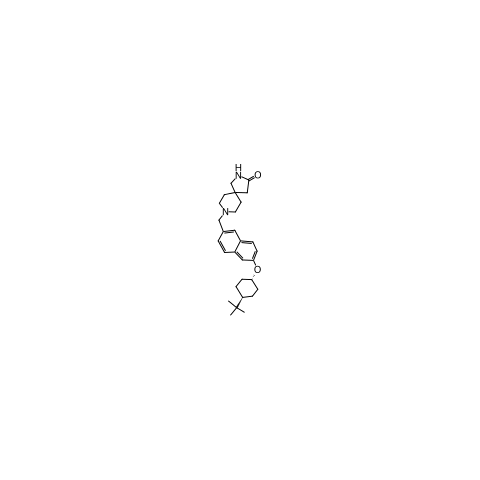 CC(C)(C)[C@H]1CC[C@H](Oc2ccc3cc(CN4CCC5(CC4)CNC(=O)C5)ccc3c2)CC1